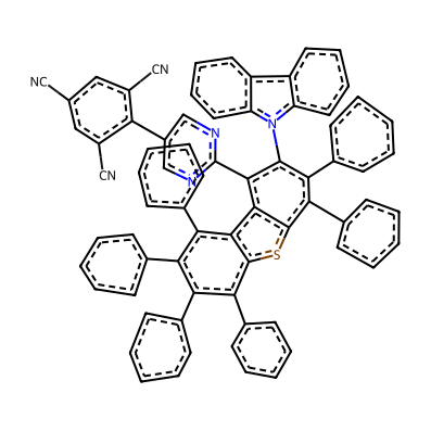 N#Cc1cc(C#N)c(-c2cnc(-c3c(-n4c5ccccc5c5ccccc54)c(-c4ccccc4)c(-c4ccccc4)c4sc5c(-c6ccccc6)c(-c6ccccc6)c(-c6ccccc6)c(-c6ccccc6)c5c34)nc2)c(C#N)c1